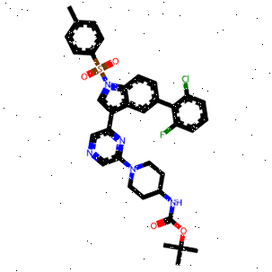 Cc1ccc(S(=O)(=O)n2cc(-c3cncc(N4CCC(NC(=O)OC(C)(C)C)CC4)n3)c3cc(-c4c(F)cccc4Cl)ccc32)cc1